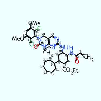 C=CC(=O)N[C@H]1C[C@H](C(=O)OCC)C(C2CCCCCC2)C[C@H]1Nc1ncc2c(n1)N(C)C(=O)N(c1c(Cl)c(OC)cc(OC)c1Cl)C2